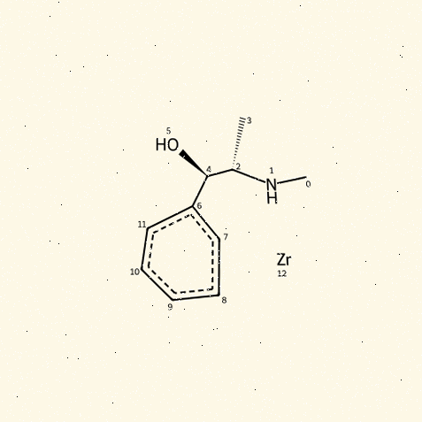 CN[C@@H](C)[C@H](O)c1ccccc1.[Zr]